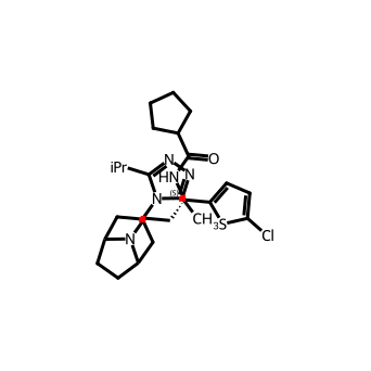 Cc1nnc(C(C)C)n1C1CC2CCC(C1)N2CC[C@H](NC(=O)C1CCCC1)c1ccc(Cl)s1